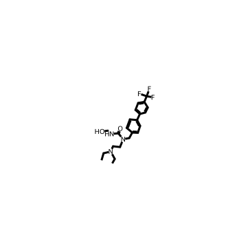 CCN(CC)CCN(Cc1ccc(-c2ccc(C(F)(F)F)cc2)cc1)C(=O)NCO